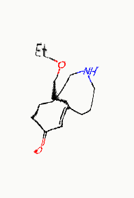 CCOCC12CCC(=O)C=C1CCNC2